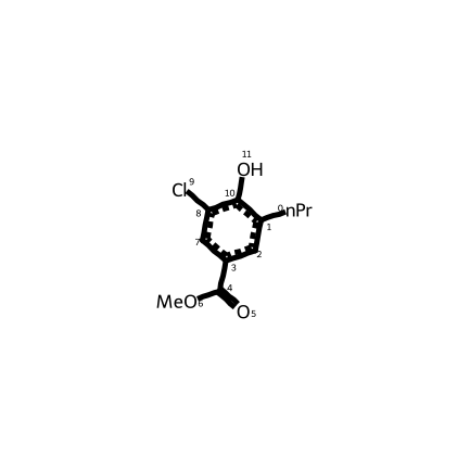 CCCc1cc(C(=O)OC)cc(Cl)c1O